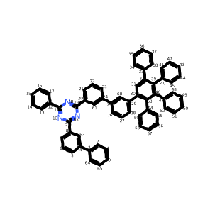 c1ccc(-c2cccc(-c3nc(-c4ccccc4)nc(-c4cccc(-c5cccc(-c6cc(-c7ccccc7)c(-c7ccccc7)c(-c7ccccc7)c6-c6ccccc6)c5)c4)n3)c2)cc1